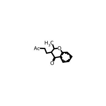 CC(=O)CCC1C(=O)c2ccccc2OC1C